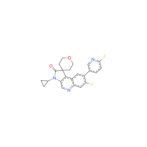 O=C1N(C2CC2)c2cnc3cc(F)c(-c4ccc(F)nc4)cc3c2C12CCOCC2